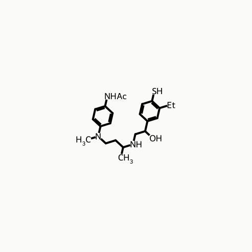 CCc1cc(C(O)CNC(C)CCN(C)c2ccc(NC(C)=O)cc2)ccc1S